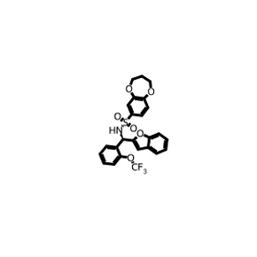 O=S(=O)(N[C@@H](c1cc2ccccc2o1)c1ccccc1OC(F)(F)F)c1ccc2c(c1)OCCCO2